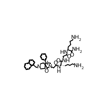 NCCCCC(NC(=O)CNC(=O)[C@H](CCCCN)NC(=O)CN1CN(c2ccccc2)C2(CCN(Cc3cccc4ccccc34)CC2)C1=O)C(N)=O